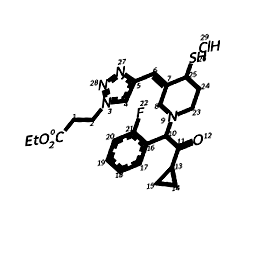 CCOC(=O)CCn1cc(/C=C2\CN(C(C(=O)C3CC3)c3ccccc3F)CCC2S)nn1.Cl